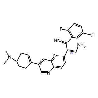 CN(C)C1CC=C(c2cnc3ccc(/C(=C/N)C(=N)c4cc(Cl)ccc4F)nc3c2)CC1